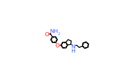 NC(=O)c1ccc(Oc2ccc3c(c2)CCC3NCCc2ccccc2)cc1